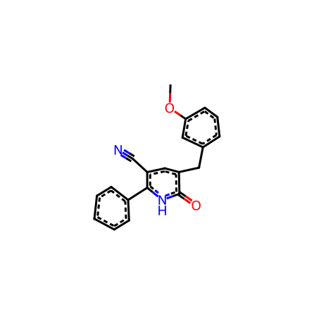 COc1cccc(Cc2cc(C#N)c(-c3ccccc3)[nH]c2=O)c1